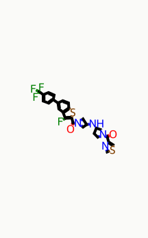 O=C(c1cscn1)N1CC[C@H](NC2CN(C(=O)c3sc4ccc(-c5ccc(C(F)(F)F)cc5)cc4c3F)C2)C1